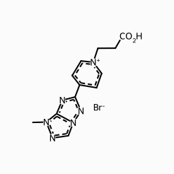 Cn1ncn2nc(-c3cc[n+](CCC(=O)O)cc3)nc12.[Br-]